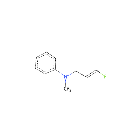 F/C=C/CN(c1ccccc1)C(F)(F)F